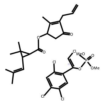 C=CCC1=C(C)C(OC(=O)C2C(C=C(C)C)C2(C)C)CC1=O.COP(=O)(OC)O/C(=C\Cl)c1cc(Cl)c(Cl)cc1Cl